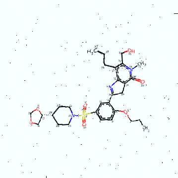 CCCOc1ccc(S(=O)(=O)N2CCC([C@@H]3COCO3)CC2)cc1C1=Nc2c(CCC)c(CO)n(C)c(=O)c2C1